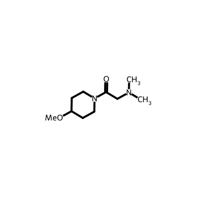 COC1CCN(C(=O)CN(C)C)CC1